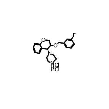 Cl.Cl.Fc1cccc(CO[C@@H]2COc3ccccc3[C@H]2N2CCNCC2)c1